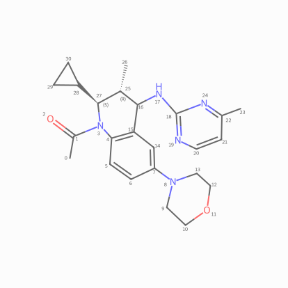 CC(=O)N1c2ccc(N3CCOCC3)cc2C(Nc2nccc(C)n2)[C@@H](C)[C@@H]1C1CC1